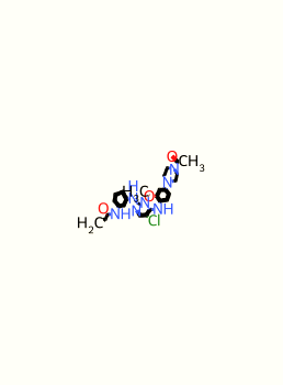 C=CC(=O)Nc1cccc(Nc2ncc(Cl)c(Nc3ccc(N4CCN(C(C)=O)CC4)cc3OC)n2)c1